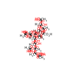 CC(COC(=O)C(C)(COC(=O)C(C)(CO)CO)COC(=O)C(C)(CO)COC(=O)C(C)(CO)CO)(COC(=O)C(C)(COC(=O)C(C)(CO)COC(=O)C(C)(CO)COC(=O)C(C)(CO)CO)COC(=O)C(C)(CO)COC(=O)C(C)(CO)COC(=O)C(C)(COC(=O)C(C)(CO)CO)COC(=O)C(C)(CO)COC(=O)C(C)(CO)CO)C(=O)O